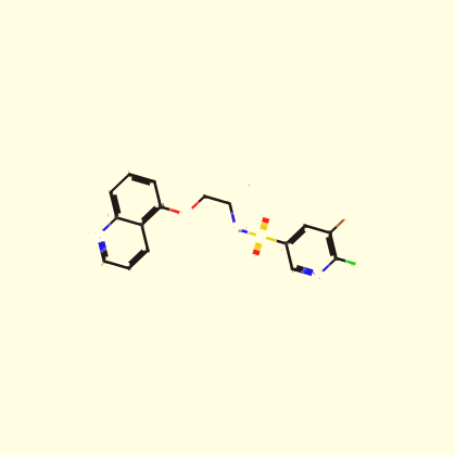 C[C@@H](COc1cccc2ncccc12)NS(=O)(=O)c1cnc(Cl)c(Br)c1